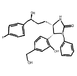 O=C1N[C@@H](CC[C@H](O)c2ccc(F)cc2)[C@@H](c2ccc(CO)cc2O)N1c1ccccc1